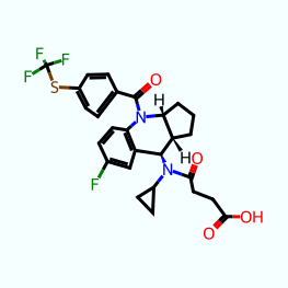 O=C(O)CCC(=O)N(C1CC1)[C@H]1c2cc(F)ccc2N(C(=O)c2ccc(SC(F)(F)F)cc2)[C@@H]2CCC[C@@H]21